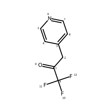 O=C(Cc1ccncc1)C(F)(F)F